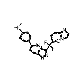 CP(C)c1ccc(-c2ccc3nnc(C(F)(F)c4ccc5nccn5c4)n3n2)cc1